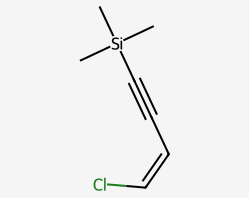 C[Si](C)(C)C#C/C=C\Cl